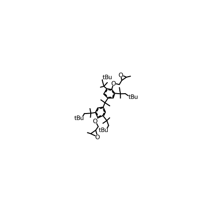 CC1OC1COc1c(C(C)(C)CC(C)(C)C)cc(C(C)(C)c2cc(C(C)(C)CC(C)(C)C)c(OCC3OC3C)c(C(C)(C)CC(C)(C)C)c2)cc1C(C)(C)CC(C)(C)C